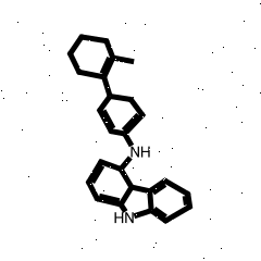 CC1=C(C2C=CC(NC3C=CC=C4Nc5ccccc5C43)=CC2)CCCC1